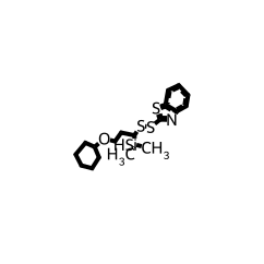 C[SiH](C)C(CCOC1CCCCC1)SSc1nc2ccccc2s1